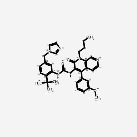 CCCCn1c(=O)c(NC(=O)Nc2cc(Cn3ccnc3)ccc2C(C)(C)C)c(-c2cccc(OC)c2)c2ccncc21